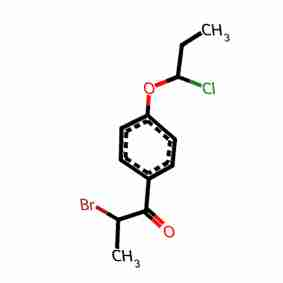 CCC(Cl)Oc1ccc(C(=O)C(C)Br)cc1